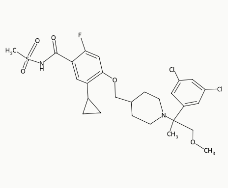 COCC(C)(c1cc(Cl)cc(Cl)c1)N1CCC(COc2cc(F)c(C(=O)NS(C)(=O)=O)cc2C2CC2)CC1